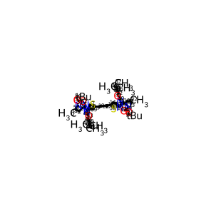 C[C@H]1CC(c2nc3sc(C#CC#Cc4cc5c(nc(C6C[C@H](C)CN6C(=O)OC(C)(C)C)n5COCC[Si](C)(C)C)s4)cc3n2COCC[Si](C)(C)C)N(C(=O)OC(C)(C)C)C1